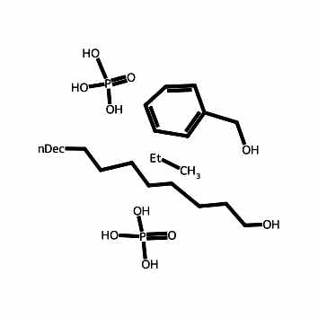 CCC.CCCCCCCCCCCCCCCCCCO.O=P(O)(O)O.O=P(O)(O)O.OCc1ccccc1